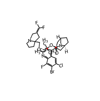 CC(C)(C)OC(=O)N1[C@@H]2CC[C@H]1CN(c1nc(OCC34CCCN3CC(=C(F)F)C4)nc3c(F)c(Br)c(Cl)cc13)C2